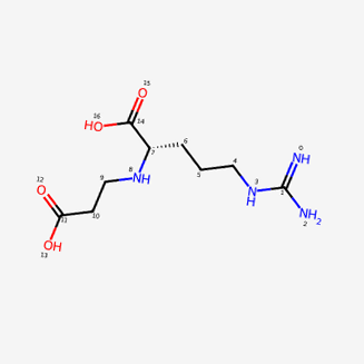 N=C(N)NCCC[C@H](NCCC(=O)O)C(=O)O